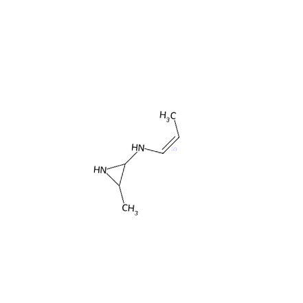 C/C=C\NC1NC1C